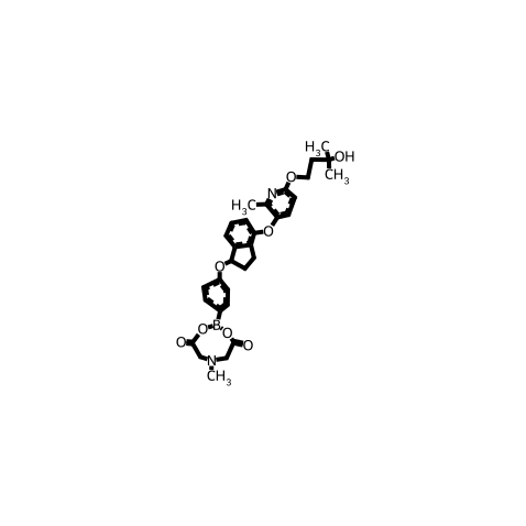 Cc1nc(OCCC(C)(C)O)ccc1Oc1cccc2c1CCC2Oc1ccc(B2OC(=O)CN(C)CC(=O)O2)cc1